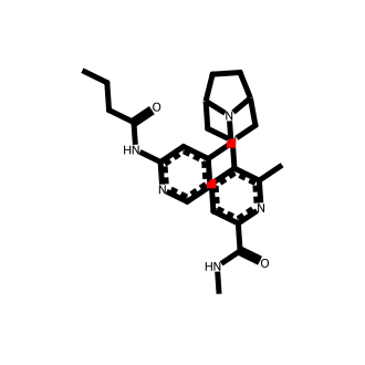 CCCC(=O)Nc1cc(CN2C3CCC2CN(c2ccc(C(=O)NC)nc2C)C3)ccn1